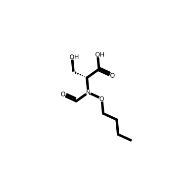 CCCCON(C=O)[C@H](CO)C(=O)O